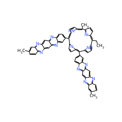 CCc1c2nc(c(C)c3ccc([nH]3)c(-c3ccc4nc5cc6nc7cc(C)ccc7nc6cc5nc4c3)c3nc(c(-c4ccc5nc6cc7nc8cc(C)ccc8nc7cc6nc5c4)c4ccc1[nH]4)C=C3)C=C2